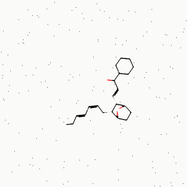 O=C(O)CC=C/C=C\C[C@H]1[C@@H](/C=C/C(O)C2CCCCC2)[C@H]2CC[C@@H]1O2